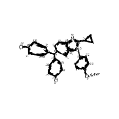 COc1ccc(-n2c(C3CC3)nc3ccc(C(c4ccc(Cl)cc4)c4ccc(Cl)cc4)cc32)cc1